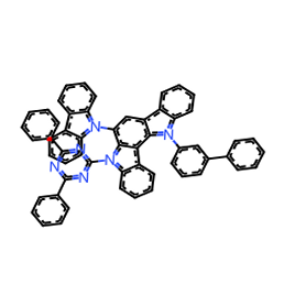 c1ccc(-c2cccc(-n3c4ccccc4c4cc(-n5c6ccccc6c6ccccc65)c5c(c6ccccc6n5-c5nc(-c6ccccc6)nc(-c6ccccc6)n5)c43)c2)cc1